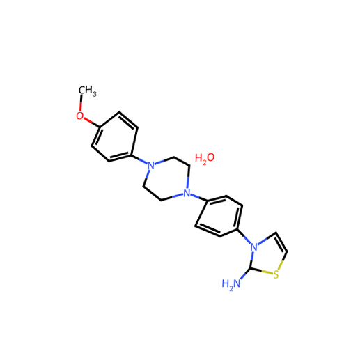 COc1ccc(N2CCN(c3ccc(N4C=CSC4N)cc3)CC2)cc1.O